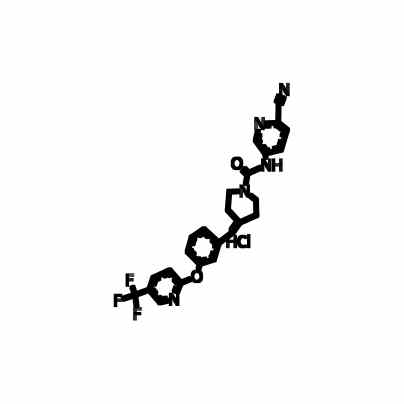 Cl.N#Cc1ccc(NC(=O)N2CCC(=Cc3cccc(Oc4ccc(C(F)(F)F)cn4)c3)CC2)cn1